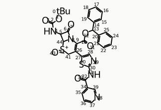 CC(C)(C)OC(=O)NC1C(=O)N2C(C(=O)OC(c3ccccc3)c3ccccc3)=C(c3cnc(NC(=O)c4cccnc4)s3)C[S+]([O-])C12